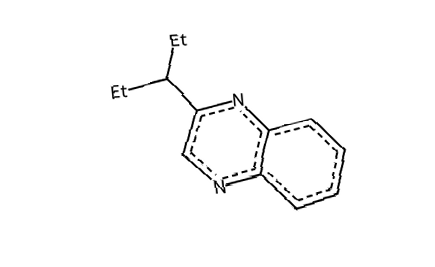 CCC(CC)c1cnc2ccccc2n1